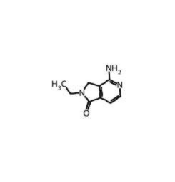 CCN1Cc2c(ccnc2N)C1=O